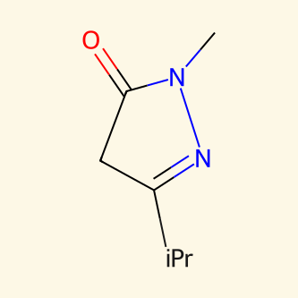 CC(C)C1=NN(C)C(=O)C1